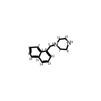 c1ccc2c(CN3CC[N]CC3)cccc2c1